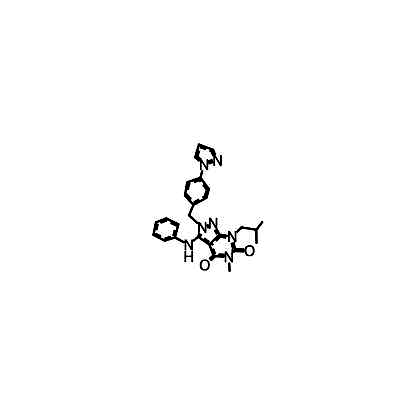 CC(C)Cn1c(=O)n(C)c(=O)c2c(Nc3ccccc3)n(Cc3ccc(-n4cccn4)cc3)nc21